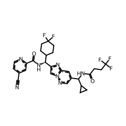 N#Cc1ccnc(C(=O)N[C@H](c2cn3ncc(C(NC(=O)CCC(F)(F)F)C4CC4)cc3n2)C2CCC(F)(F)CC2)c1